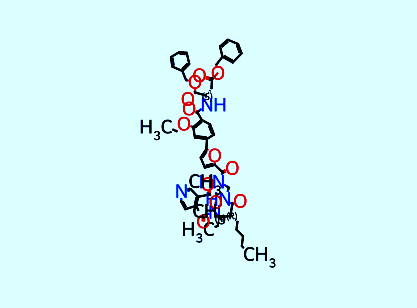 CCCCC[C@@H](C(=O)NCNC(=O)c1ccc(-c2ccc(C(=O)N[C@@H](CC(=O)OCc3ccccc3)C(=O)OCc3ccccc3)c(OCC)c2)o1)[C@@H](CC)N(C=O)OC(=O)c1c(C)ccnc1C